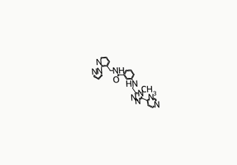 Cn1c(CNc2cccc(C(=O)NCc3cccnc3-n3cccn3)c2)nnc1-c1ccncn1